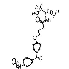 CC(O)C(NC(=O)CCCOc1ccc(C(=O)c2ccc(N=C=O)cc2)cc1)C(=O)O